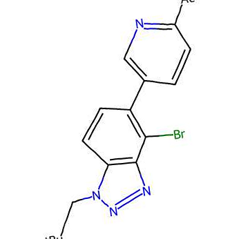 CC(=O)c1ccc(-c2ccc3c(nnn3CC(C)(C)C)c2Br)cn1